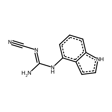 N#CN=C(N)Nc1cccc2[nH]ccc12